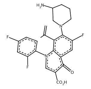 C=C(C)c1c(N2CCCC(N)C2)c(F)cc2c(=O)c(C(=O)O)cn(-c3ccc(F)cc3F)c12